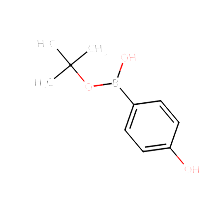 CC(C)(C)OB(O)c1ccc(O)cc1